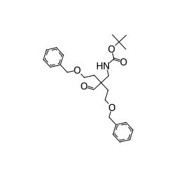 CC(C)(C)OC(=O)NCC(C=O)(CCOCc1ccccc1)CCOCc1ccccc1